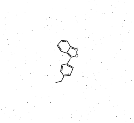 CCc1ccc(-c2onc3ccccc23)cc1